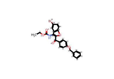 CCOC(=O)Nc1c(C(=O)c2ccc(OCc3ccccc3)cc2)oc2ccc(Br)cc12